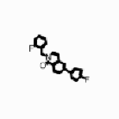 O=c1c2ccc(-c3ccc(F)cc3)cc2ccn1Cc1ccccc1F